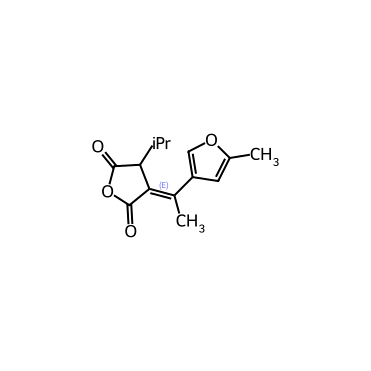 C/C(=C1\C(=O)OC(=O)C1C(C)C)c1coc(C)c1